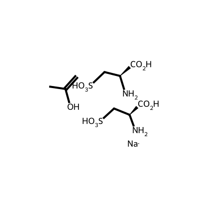 C=C(C)O.N[C@@H](CS(=O)(=O)O)C(=O)O.N[C@@H](CS(=O)(=O)O)C(=O)O.[Na]